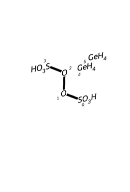 O=S(=O)(O)OOS(=O)(=O)O.[GeH4].[GeH4]